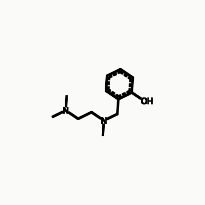 CN(C)CCN(C)Cc1ccccc1O